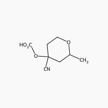 CC1CC(C#N)(OC(=O)O)CCO1